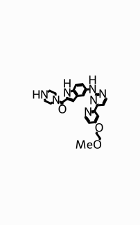 COCCOc1ccnc(-c2ccnc(Nc3ccc4[nH]c(C(=O)N5CCNCC5)cc4c3)n2)c1